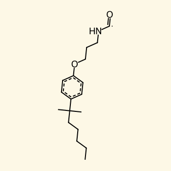 CCCCCC(C)(C)c1ccc(OCCCN[C]=O)cc1